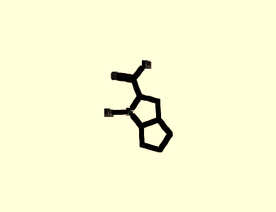 CCC(=O)C1CC2CCCC2N1CC